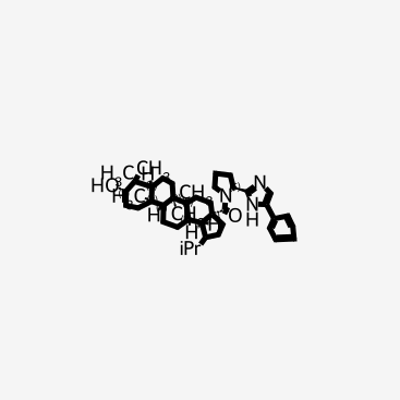 CC(C)C1CC[C@]2(C(=O)N3CCC[C@H]3c3ncc(-c4ccccc4)[nH]3)CC[C@]3(C)[C@H](CC[C@@H]4[C@@]5(C)CC[C@H](O)C(C)(C)[C@@H]5CC[C@]43C)[C@@H]12